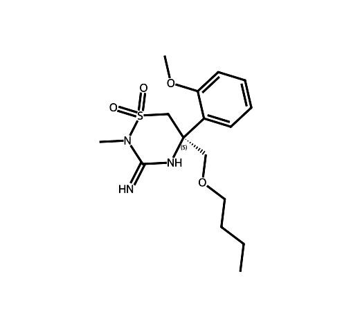 CCCCOC[C@@]1(c2ccccc2OC)CS(=O)(=O)N(C)C(=N)N1